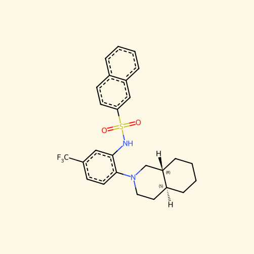 O=S(=O)(Nc1cc(C(F)(F)F)ccc1N1CC[C@@H]2CCCC[C@H]2C1)c1ccc2ccccc2c1